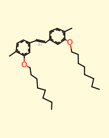 CCCCCCCCOc1cc(/C=C/c2ccc(C)c(OCCCCCCCC)c2)ccc1C